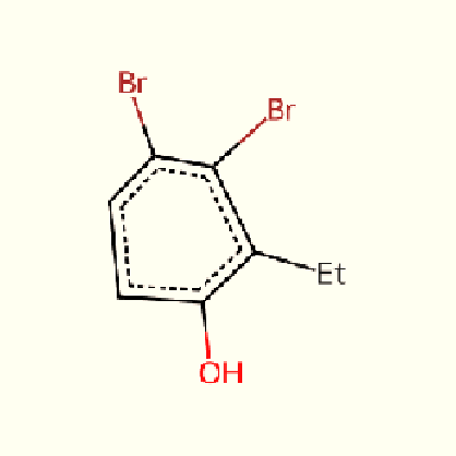 CCc1c(O)ccc(Br)c1Br